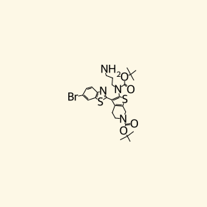 CC(C)(C)OC(=O)N1CCc2c(sc(N(CCCN)C(=O)OC(C)(C)C)c2-c2nc3ccc(Br)cc3s2)C1